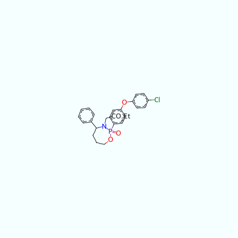 CCOC(=O)CN1C(c2ccccc2)CCCOP1(=O)c1ccc(Oc2ccc(Cl)cc2)cc1